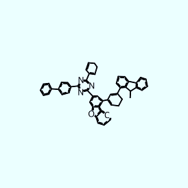 CC1c2ccccc2-c2cccc(C3=CC(c4cc(-c5nc(C6=CCCC=C6)nc(-c6ccc(-c7ccccc7)cc6)n5)cc5oc6ccccc6c45)=CCC3)c21